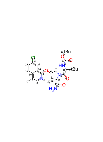 Cc1cnc(O[C@H]2CN(C(=O)[C@@H](NC(=O)OC(C)(C)C)C(C)(C)C)[C@H](C(N)=O)[C@@H]2C)c2cc(Cl)ccc12